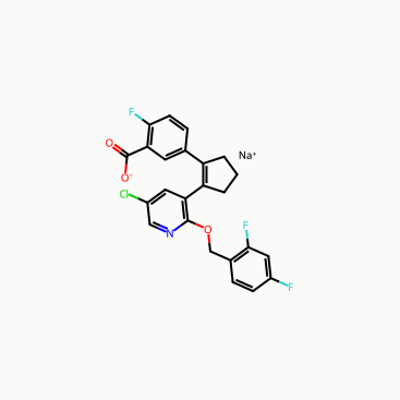 O=C([O-])c1cc(C2=C(c3cc(Cl)cnc3OCc3ccc(F)cc3F)CCC2)ccc1F.[Na+]